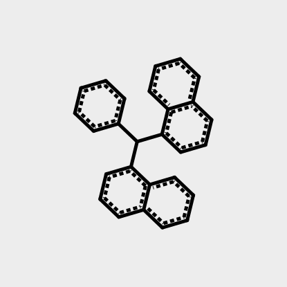 c1ccc(C(c2cccc3ccccc23)c2cccc3ccccc23)cc1